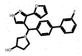 OC1CCN(C(c2ccc(-c3cccc(F)c3)cc2)c2c[nH]nc2-c2ccco2)C1